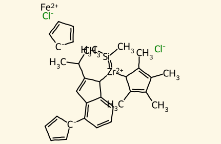 CC1=C(C)[CH]([Zr+2]([CH]2C(C(C)C)=Cc3c(-[c-]4cccc4)cccc32)=[Si](C)C)C(C)=C1C.[Cl-].[Cl-].[Fe+2].c1cc[cH-]c1